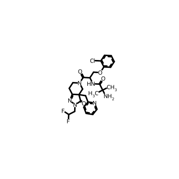 CC(C)(N)C(=O)NC(COc1ccccc1Cl)C(=O)N1CCC2=NN(CC(F)F)C(=O)C2(Cc2ccccn2)C1